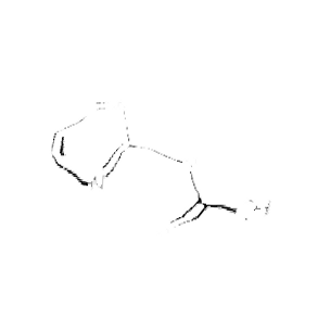 CC(=O)Nc1ncccn1